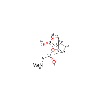 CNCC(=O)OC1C2CC3C(=O)OC1C3C2